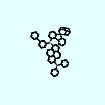 c1ccc(-c2cccc(N(c3cccc4c3-c3ccccc3C43C4CC5CC(C4)CC3C5)c3ccc4ccc5c(N(c6ccccc6)c6ccccc6)ccc6ccc3c4c65)c2)cc1